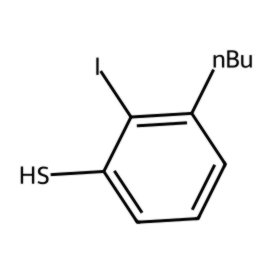 CCCCc1cccc(S)c1I